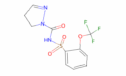 O=C(NS(=O)(=O)c1ccccc1OC(F)(F)F)N1CCC=N1